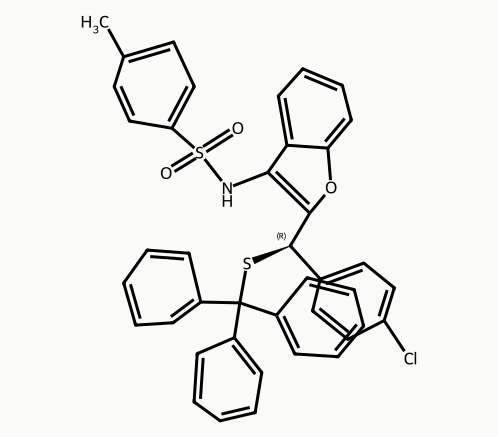 Cc1ccc(S(=O)(=O)Nc2c([C@H](SC(c3ccccc3)(c3ccccc3)c3ccccc3)c3ccc(Cl)cc3)oc3ccccc23)cc1